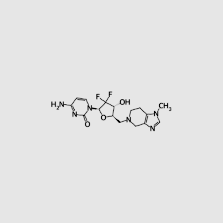 Cn1cnc2c1CCN(C[C@H]1O[C@@H](n3ccc(N)nc3=O)C(F)(F)[C@@H]1O)C2